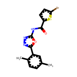 Cc1ccc(C)c(-c2nnc(NC(=O)c3ccc(Br)s3)o2)c1